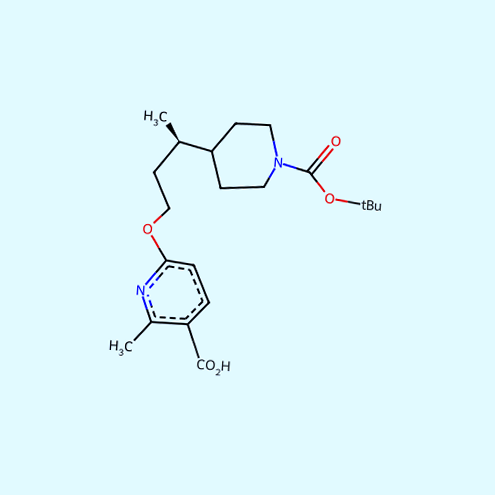 Cc1nc(OCC[C@@H](C)C2CCN(C(=O)OC(C)(C)C)CC2)ccc1C(=O)O